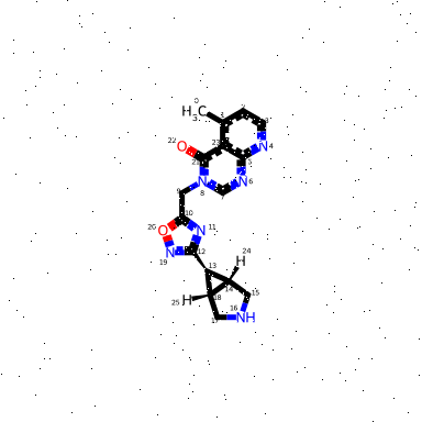 Cc1ccnc2ncn(Cc3nc([C@H]4[C@@H]5CNC[C@@H]54)no3)c(=O)c12